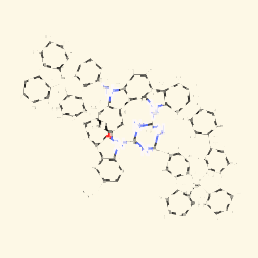 N#Cc1ccc2c(c1)c1ccccc1n2-c1nc(-c2ccc([Si](c3ccccc3)(c3ccccc3)c3cccc(-c4ccccc4)c3)cc2)nc(-n2c3ccccc3c3ccc4c(c5ccccc5n4-c4cccc([Si](c5ccccc5)(c5ccccc5)c5ccccc5)c4)c32)n1